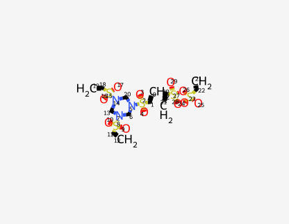 C=CS(=O)(=O)N1CN(S(=O)(=O)C=C)CN(S(=O)(=O)C=C)C1.C=CS(=O)(=O)OS(=O)(=O)C=C